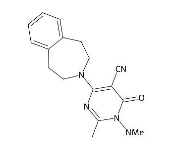 CNn1c(C)nc(N2CCc3ccccc3CC2)c(C#N)c1=O